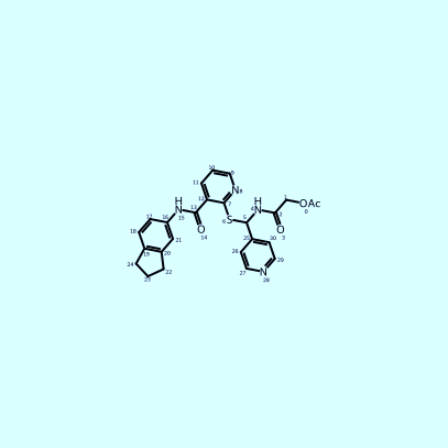 CC(=O)OCC(=O)NC(Sc1ncccc1C(=O)Nc1ccc2c(c1)CCC2)c1ccncc1